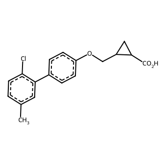 Cc1ccc(Cl)c(-c2ccc(OCC3CC3C(=O)O)cc2)c1